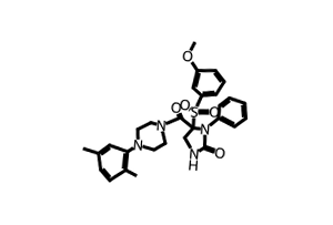 COc1cccc(S(=O)(=O)C2(C(=O)N3CCN(c4cc(C)ccc4C)CC3)CNC(=O)N2c2ccccc2)c1